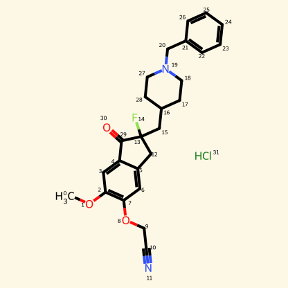 COc1cc2c(cc1OCC#N)CC(F)(CC1CCN(Cc3ccccc3)CC1)C2=O.Cl